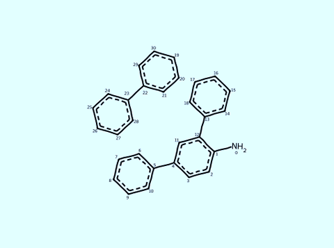 Nc1ccc(-c2ccccc2)cc1-c1ccccc1.c1ccc(-c2ccccc2)cc1